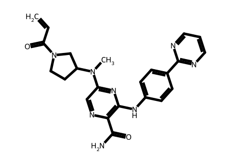 C=CC(=O)N1CCC(N(C)c2cnc(C(N)=O)c(Nc3ccc(-c4ncccn4)cc3)n2)C1